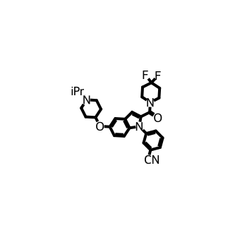 CC(C)N1CCC(Oc2ccc3c(c2)cc(C(=O)N2CCC(F)(F)CC2)n3-c2cccc(C#N)c2)CC1